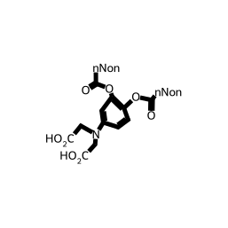 CCCCCCCCCC(=O)Oc1ccc(N(CC(=O)O)CC(=O)O)cc1OC(=O)CCCCCCCCC